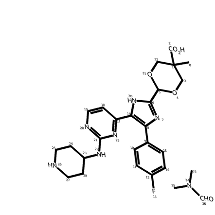 CC1(C(=O)O)COC(c2nc(-c3ccc(F)cc3)c(-c3ccnc(NC4CCNCC4)n3)[nH]2)OC1.CN(C)C=O